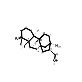 C[C@@]12CCC[C@@](C)(O)[C@H]1CC[C@@]13C[C@@H](CC[C@H]12)[C@@H](CO)C3